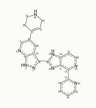 C1=C(c2cnc3[nH]nc(-c4nc5c(-c6ccccn6)nccc5[nH]4)c3c2)CCNC1